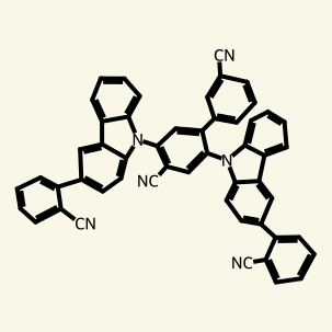 N#Cc1cccc(-c2cc(-n3c4ccccc4c4cc(-c5ccccc5C#N)ccc43)c(C#N)cc2-n2c3ccccc3c3cc(-c4ccccc4C#N)ccc32)c1